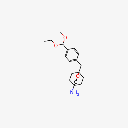 CCOC(OC)c1ccc(CC23CCC(N)(CC2)CO3)cc1